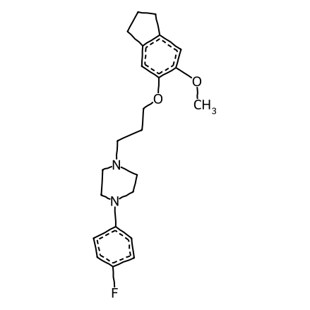 COc1cc2c(cc1OCCCN1CCN(c3ccc(F)cc3)CC1)CCC2